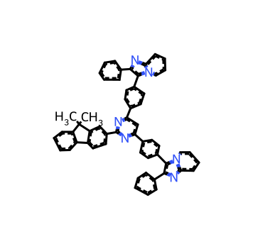 CC1(C)c2ccccc2-c2ccc(-c3nc(-c4ccc(-c5c(-c6ccccc6)nc6ccccn56)cc4)cc(-c4ccc(-c5c(-c6ccccc6)nc6ccccn56)cc4)n3)cc21